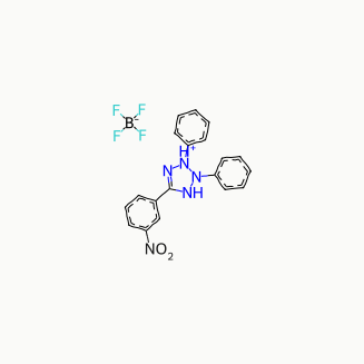 F[B-](F)(F)F.O=[N+]([O-])c1cccc(C2=N[NH+](c3ccccc3)N(c3ccccc3)N2)c1